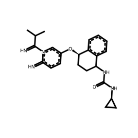 CC(C)C(=N)n1cc(O[C@@H]2CCC(NC(=O)NC3CC3)c3ccccc32)ccc1=N